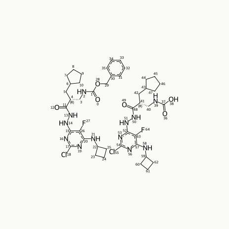 O=C(NC[C@@H](CC1CCCC1)C(=O)NNc1nc(Cl)nc(NC2CCC2)c1F)OCc1ccccc1.O=C(O)NC[C@@H](CC1CCCC1)C(=O)NNc1nc(Cl)nc(NC2CCC2)c1F